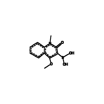 COc1c(B(O)O)c(=O)n(C)c2ccccc12